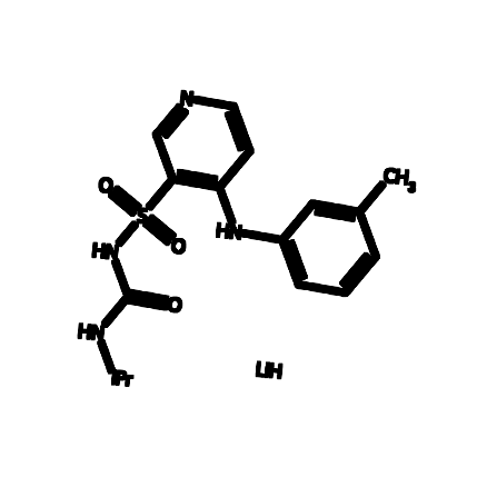 Cc1cccc(Nc2ccncc2S(=O)(=O)NC(=O)NC(C)C)c1.[LiH]